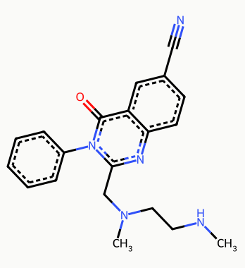 CNCCN(C)Cc1nc2ccc(C#N)cc2c(=O)n1-c1ccccc1